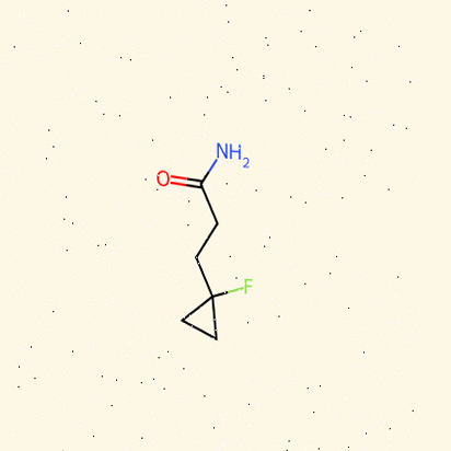 NC(=O)CCC1(F)CC1